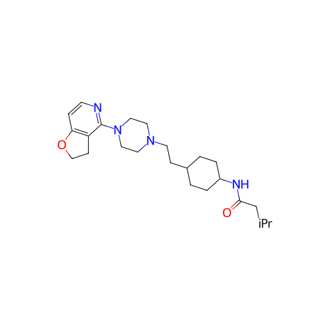 CC(C)CC(=O)NC1CCC(CCN2CCN(c3nccc4c3CCO4)CC2)CC1